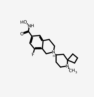 CN1CC[C@H](N2CCc3cc(C(=O)NO)cc(F)c3C2)CC12CCC2